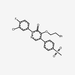 CC(C)CCOc1c(-c2ccc(S(C)(=O)=O)cc2)cnn(-c2ccc(F)c(Cl)c2)c1=O